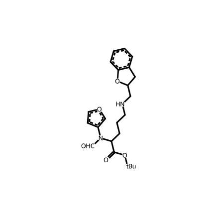 CC(C)(C)OC(=O)C(CCCNCC1Cc2ccccc2O1)N(C=O)c1ccoc1